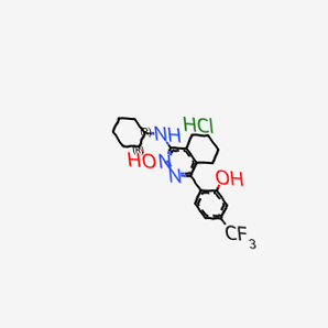 Cl.Oc1cc(C(F)(F)F)ccc1-c1nnc(N[C@@H]2CCCC[C@H]2O)c2c1CCCC2